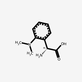 CN(C)c1ccccc1[C@@H](N)C(=O)O